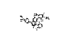 C=CC(=O)N1[C@H](C)CN(c2nc(=O)n(-c3c(C)ccnc3C(C)C)c3nc(-c4c(Cl)c(N)c(F)c(F)c4Cl)c(F)cc23)C[C@@H]1C